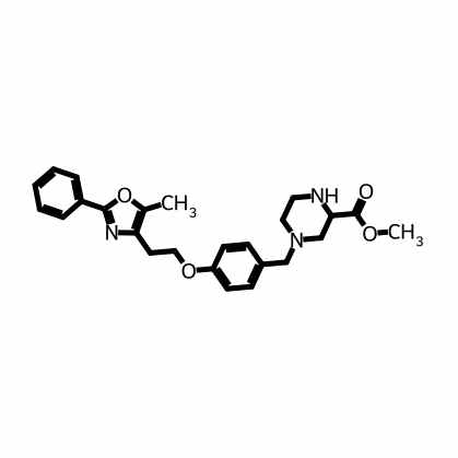 COC(=O)C1CN(Cc2ccc(OCCc3nc(-c4ccccc4)oc3C)cc2)CCN1